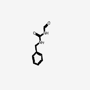 O=CNC(=O)NCc1ccccc1